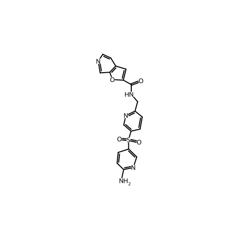 Nc1ccc(S(=O)(=O)c2ccc(CNC(=O)c3cc4ccncc4o3)nc2)cn1